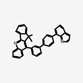 CC1(C)c2ccccc2-c2nc3ccccc3c(-c3cccc(-c4ccc(-c5cccc6cccnc56)cc4)c3)c21